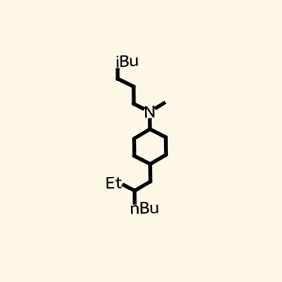 CCCCC(CC)CC1CCC(N(C)CCCC(C)CC)CC1